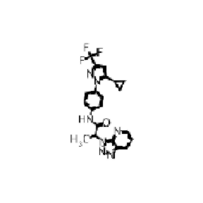 CC(C(=O)Nc1ccc(-n2nc(C(F)(F)F)cc2C2CC2)cc1)n1nnc2cccnc21